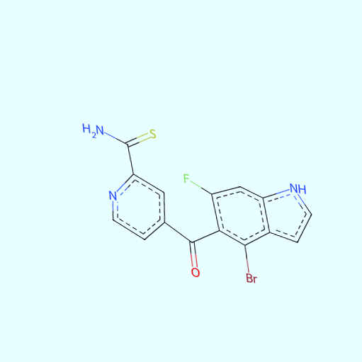 NC(=S)c1cc(C(=O)c2c(F)cc3[nH]ccc3c2Br)ccn1